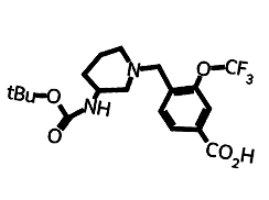 CC(C)(C)OC(=O)NC1CCCN(Cc2ccc(C(=O)O)cc2OC(F)(F)F)C1